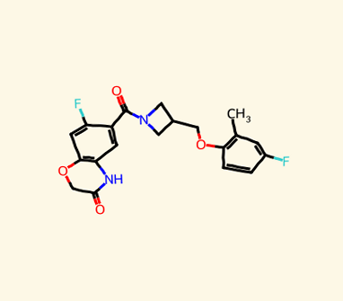 Cc1cc(F)ccc1OCC1CN(C(=O)c2cc3c(cc2F)OCC(=O)N3)C1